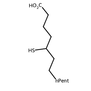 CCCCCCCC(S)CCCC(=O)O